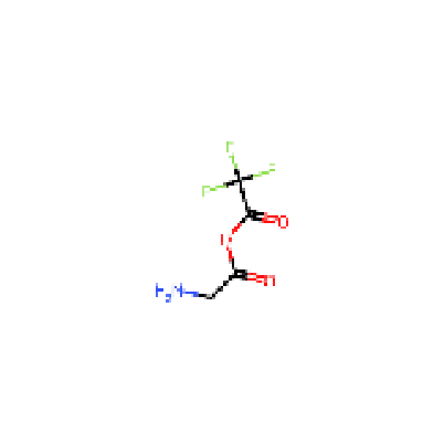 NCC(=O)OC(=O)C(F)(F)F